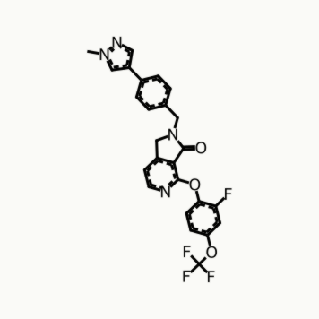 Cn1cc(-c2ccc(CN3Cc4ccnc(Oc5ccc(OC(F)(F)F)cc5F)c4C3=O)cc2)cn1